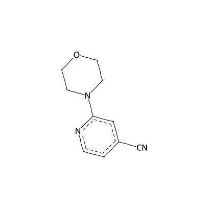 N#Cc1ccnc(N2CCOCC2)c1